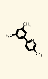 Cc1cc(-c2ccc(C(F)(F)F)cn2)cc(C(F)(F)F)c1